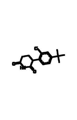 CC(C)(C)c1ccc(C2CCC(=O)NC2=O)c(Cl)c1